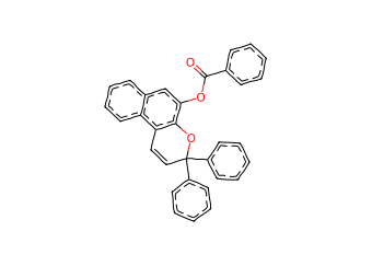 O=C(Oc1cc2ccccc2c2c1OC(c1ccccc1)(c1ccccc1)C=C2)c1ccccc1